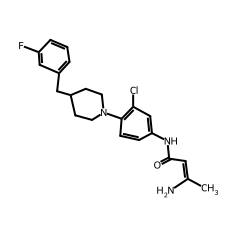 CC(N)=CC(=O)Nc1ccc(N2CCC(Cc3cccc(F)c3)CC2)c(Cl)c1